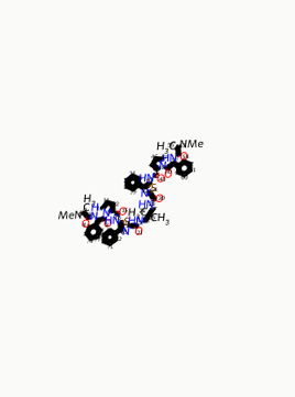 CN[C@@H](C)C(=O)N[C@H](C(=O)N1CCC[C@H]1C(=O)Nc1sc(C(=O)NCC(C)(C)CNC(=O)c2nc(-c3ccccc3)c(NC(=O)[C@@H]3CCCN3C(=O)[C@@H](NC(=O)[C@H](C)NC)C3CCCCC3)s2)nc1-c1ccccc1)C1CCCCC1